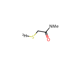 [2H]SCC(=O)NC